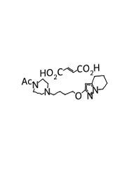 CC(=O)N1CCN(CCCCOc2cc3n(n2)CCCC3)CC1.O=C(O)C=CC(=O)O